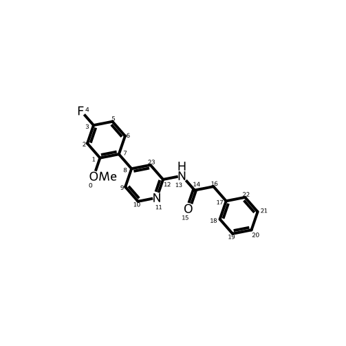 COc1cc(F)ccc1-c1ccnc(NC(=O)Cc2ccccc2)c1